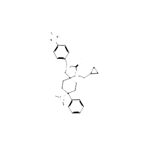 CN(C)[C@]1(c2ccccc2)CC[C@@]2(CC1)CN(c1ccc(S(C)(=O)=O)cc1)C(=O)N2CC1CC1